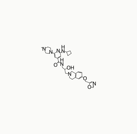 CN1CCN(c2cc(C(=O)NCC(O)CN3CCc4cc(OCc5cnco5)ccc4C3)cc(NC3CCC3)n2)CC1